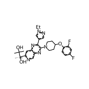 CCn1cc(-c2nc3cc([C@@](C)(O)C(C)(C)O)ncc3nc2N2CCC(Oc3ccc(F)cc3F)CC2)cn1